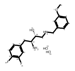 COc1cccc(CNC[C@@H](O)[C@@H](N)Cc2ccc(F)c(F)c2)c1.Cl.Cl